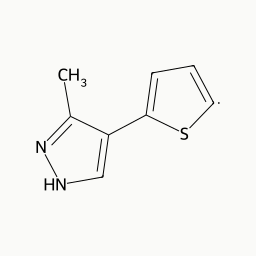 Cc1n[nH]cc1-c1cc[c]s1